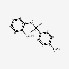 COc1ccc(C(C)(C)Oc2ccccc2C(=O)O)cc1